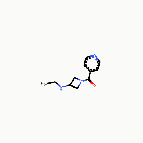 CCNC1CN(C(=O)c2ccncc2)C1